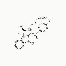 COCCCNC(=O)[C@]1(C)c2ccccc2C(=O)N1C[C@H](C)c1ccc(Cl)cc1